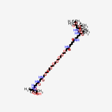 CC(C)[C@H](NC(=O)CCCC(=O)NCCC(=O)NCCOCCOCCOCCOCCOCCOCCOCCOCCC(=O)NCCCCCC(=O)NCCCCC(NC(=O)NC(CCC(=O)OC(C)(C)C)C(=O)OC(C)(C)C)C(=O)OC(C)(C)C)C(=O)N[C@@H](C)C(=O)O